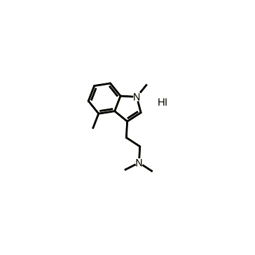 Cc1cccc2c1c(CCN(C)C)cn2C.I